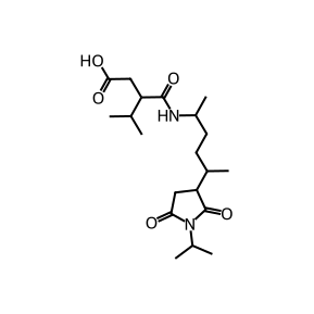 CC(CCC(C)C1CC(=O)N(C(C)C)C1=O)NC(=O)C(CC(=O)O)C(C)C